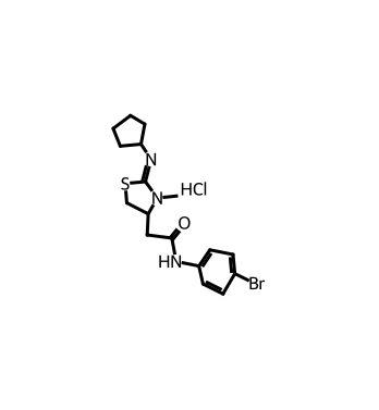 CN1/C(=N/C2CCCC2)SCC1CC(=O)Nc1ccc(Br)cc1.Cl